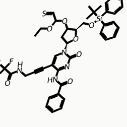 CCOC(C=S)OC1C[C@H](n2cc(C#CCNC(=O)C(F)(F)F)c(NC(=O)c3ccccc3)nc2=O)O[C@@H]1CO[Si](c1ccccc1)(c1ccccc1)C(C)(C)C